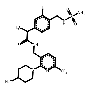 CC1CCN(c2nc(C(F)(F)F)ccc2CNC(=O)C(C)c2ccc(CNS(N)(=O)=O)c(F)c2)CC1